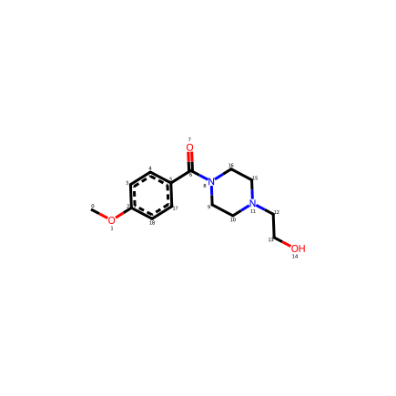 COc1ccc(C(=O)N2CCN(CCO)CC2)cc1